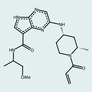 C=CC(=O)N1CC[C@H](Nc2cnc3[nH]cc(C(=O)NC(C)COC)c3n2)C[C@@H]1C